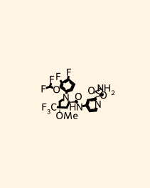 CO[C@@]1(C(F)(F)F)C[C@H](C(=O)Nc2ccnc(S(N)(=O)=O)c2)N(c2ccc(F)c(F)c2OC(F)F)C1